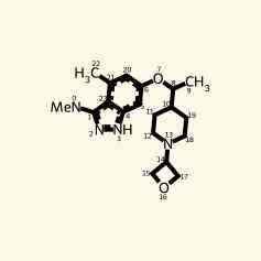 CNc1n[nH]c2cc(OC(C)C3CCN(C4COC4)CC3)cc(C)c12